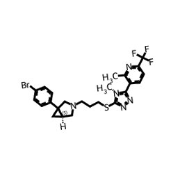 Cc1nc(C(F)(F)F)ccc1-c1nnc(SCCCN2C[C@H]3CC3(c3ccc(Br)cc3)C2)n1C